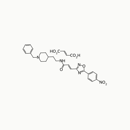 O=C(C=Cc1noc(-c2ccc([N+](=O)[O-])cc2)n1)NCCC1CCN(Cc2ccccc2)CC1.O=C(O)C=CC(=O)O